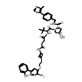 Cc1ncsc1-c1ccc(CNC(=O)[C@@H]2C[C@@H](O)CN2C(=O)[C@@H](NC(=O)CCC(=O)NC23CC(CCOc4cc(-c5ccccc5O)nnc4N)(C2)C3)C(C)(C)C)cc1